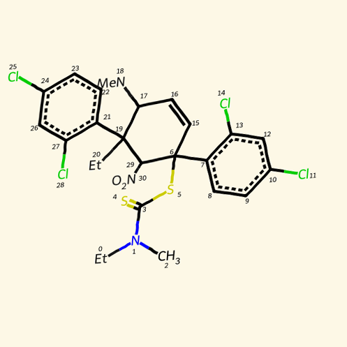 CCN(C)C(=S)SC1(c2ccc(Cl)cc2Cl)C=CC(NC)C(CC)(c2ccc(Cl)cc2Cl)C1[N+](=O)[O-]